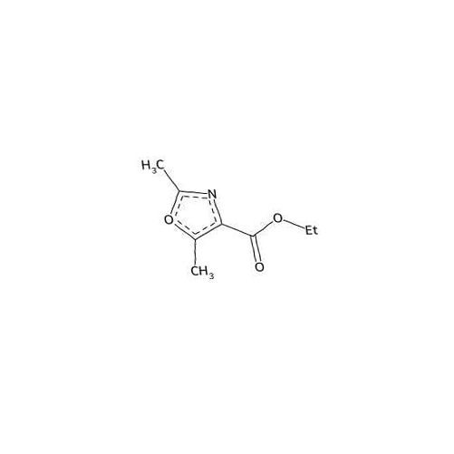 CCOC(=O)c1nc(C)oc1C